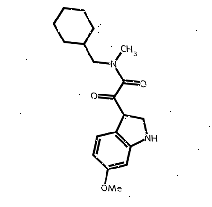 COc1ccc2c(c1)NCC2C(=O)C(=O)N(C)CC1CCCCC1